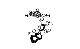 O=c1c2c(F)cccc2ccn1[C@@H]1O[C@H](COP(=O)(O)OP(=O)(O)OP(=O)(O)O)[C@@H](O)[C@H]1O